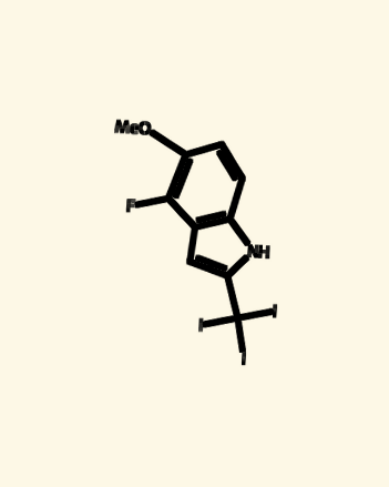 COc1ccc2[nH]c(C(I)(I)I)cc2c1F